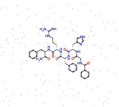 N=C(N)NCCC[C@H](NC(=O)[C@@H](Cc1ccccc1)NC(=O)[C@H](Cc1c[nH]cn1)NC(=O)CNC(=O)c1ccccc1)C(=O)N[C@H](Cc1ccccc1)C(N)=O